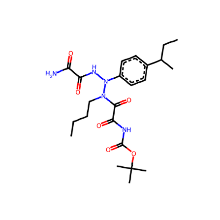 CCCCN(C(=O)C(=O)NC(=O)OC(C)(C)C)N(NC(=O)C(N)=O)c1ccc(C(C)CC)cc1